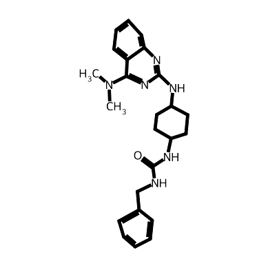 CN(C)c1nc(NC2CCC(NC(=O)NCc3ccccc3)CC2)nc2ccccc12